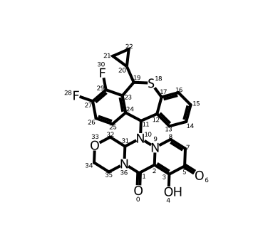 O=C1c2c(O)c(=O)ccn2N(C2c3ccccc3SC(C3CC3)c3c2ccc(F)c3F)C2COCCN12